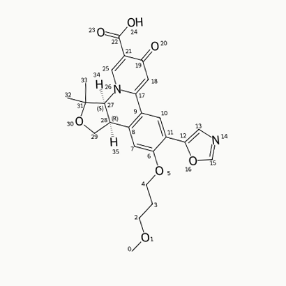 COCCCOc1cc2c(cc1-c1cnco1)-c1cc(=O)c(C(=O)O)cn1[C@H]1[C@@H]2COC1(C)C